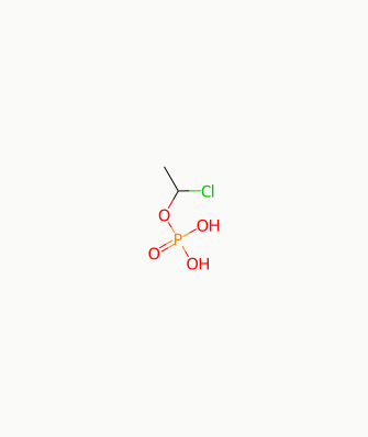 CC(Cl)OP(=O)(O)O